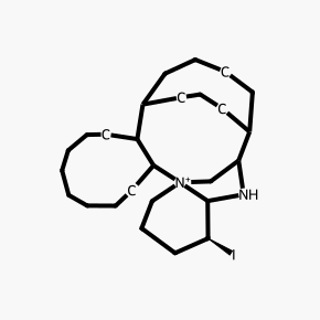 I[C@H]1CCC[N+]23CC(NC12)C1CCCCC(CCC1)C1CCCCCCCCC13